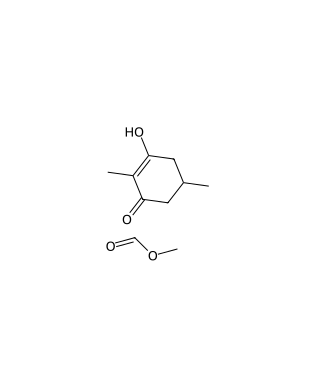 CC1=C(O)CC(C)CC1=O.COC=O